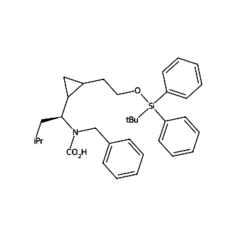 CC(C)C[C@@H](C1CC1CCO[Si](c1ccccc1)(c1ccccc1)C(C)(C)C)N(Cc1ccccc1)C(=O)O